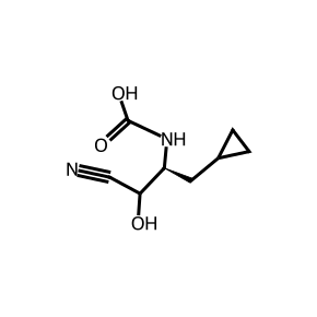 N#CC(O)[C@H](CC1CC1)NC(=O)O